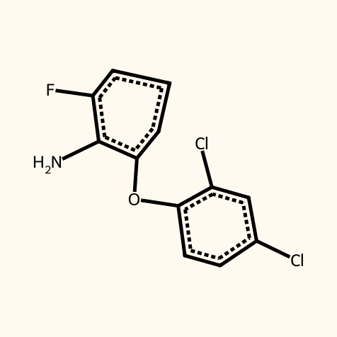 Nc1c(F)cccc1Oc1ccc(Cl)cc1Cl